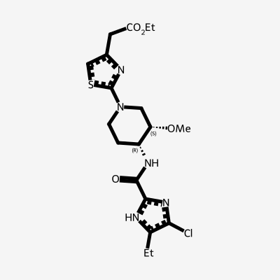 CCOC(=O)Cc1csc(N2CC[C@@H](NC(=O)c3nc(Cl)c(CC)[nH]3)[C@@H](OC)C2)n1